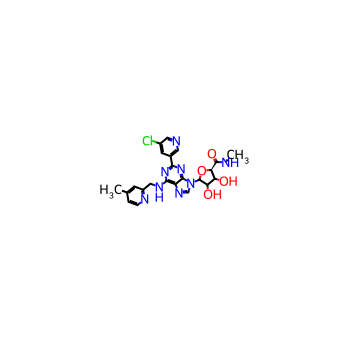 CNC(=O)[C@@H]1OC(n2cnc3c(NCc4cc(C)ccn4)nc(-c4cncc(Cl)c4)nc32)C(O)C1O